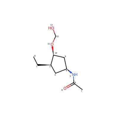 CC[C@@H]1C[C@H](NC(C)=O)C[C@@H]1OCO